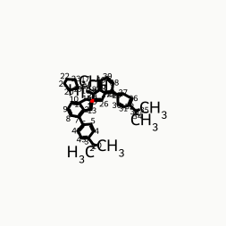 CC(C)c1ccc(-c2cccc3c2C=C[CH]3[Hf]([CH3])([CH3])(=[C]2CCCC2)[CH]2C=Cc3c(-c4ccc(C(C)C)cc4)cccc32)cc1